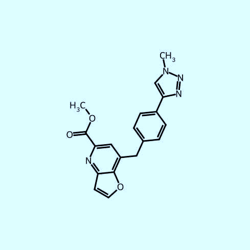 COC(=O)c1cc(Cc2ccc(-c3cn(C)nn3)cc2)c2occc2n1